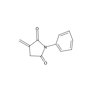 C=C1CC(=O)N(c2ccccc2)C1=O